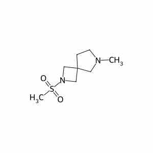 CN1CCC2(C1)CN(S(C)(=O)=O)C2